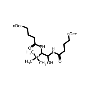 CCCCCCCCCCCCCC(=O)PC(O)C(PC(=O)CCCCCCCCCCCCC)[N+](C)(C)C